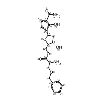 NC(=O)c1ncn([C@H]2C[C@H](O)[C@@H](COC(=O)[C@@H](N)COCc3ccccc3)O2)c1O